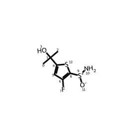 CC(C)(O)c1cc(F)c([S+](N)[O-])s1